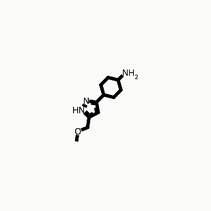 COCc1cc(C2CCC(N)CC2)n[nH]1